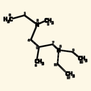 CCN(C)CC(C)CN(CC)CC